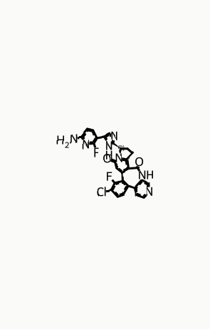 Nc1ccc(-c2cnc([C@H]3CCc4c5c(cc(=O)n43)-c3c(ccc(Cl)c3F)-c3ccncc3NC5=O)[nH]2)c(F)n1